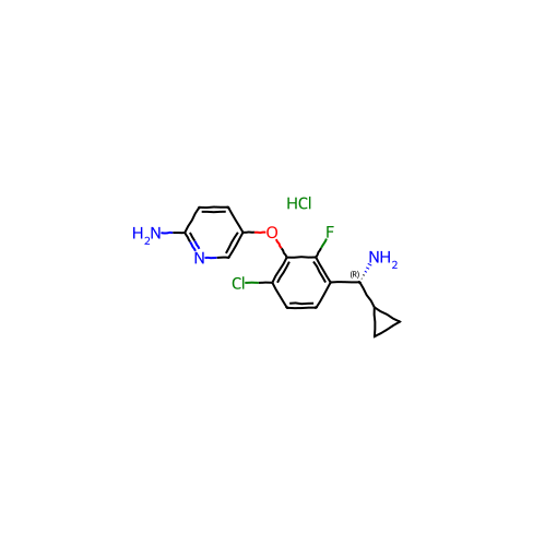 Cl.Nc1ccc(Oc2c(Cl)ccc([C@H](N)C3CC3)c2F)cn1